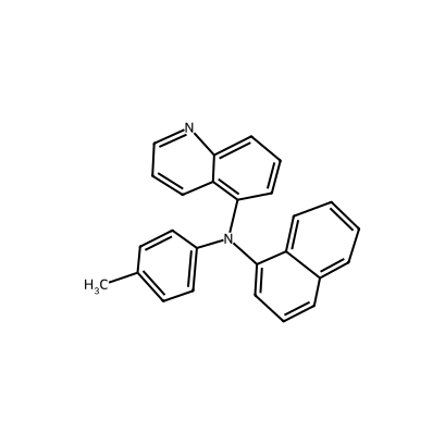 Cc1ccc(N(c2cccc3ccccc23)c2cccc3ncccc23)cc1